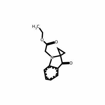 CCOC(=O)CN1c2ccccc2C(=O)C12CC2